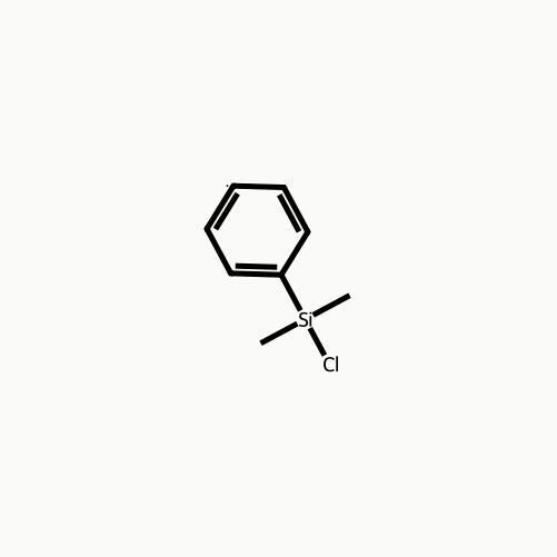 C[Si](C)(Cl)c1cc[c]cc1